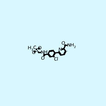 CS(=O)(=O)CNC(=O)c1ccc(-c2cc[c]c(C(N)=O)n2)c(Cl)c1